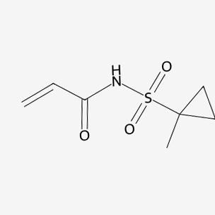 C=CC(=O)NS(=O)(=O)C1(C)CC1